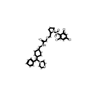 O=C(COCC1CCCN1S(=O)(=O)c1c(Cl)cc(Cl)cc1Cl)NCC1CCC(C(c2ccccc2)N2CCOCC2)CC1